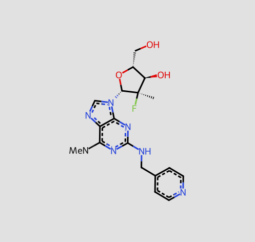 CNc1nc(NCc2ccncc2)nc2c1ncn2[C@@H]1O[C@H](CO)[C@@H](O)[C@@]1(C)F